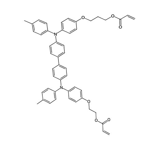 C=CC(=O)OCCCOc1ccc(N(c2ccc(C)cc2)c2ccc(-c3ccc(N(c4ccc(C)cc4)c4ccc(OCCOC(=O)C=C)cc4)cc3)cc2)cc1